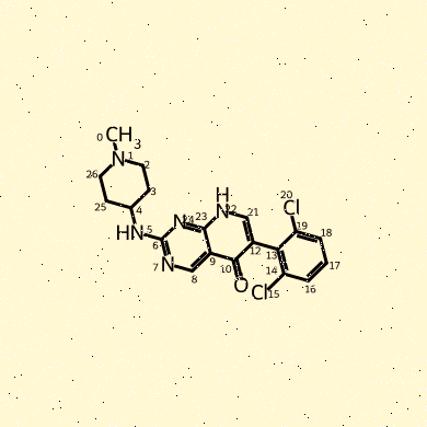 CN1CCC(Nc2ncc3c(=O)c(-c4c(Cl)cccc4Cl)c[nH]c3n2)CC1